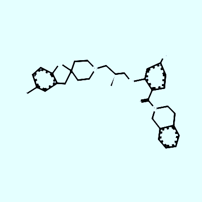 O=C(c1ccc(O)cc1OC[C@@H](O)CN1CCC2(CC1)Cc1cc(Cl)ccc1O2)N1CCc2ccccc2C1